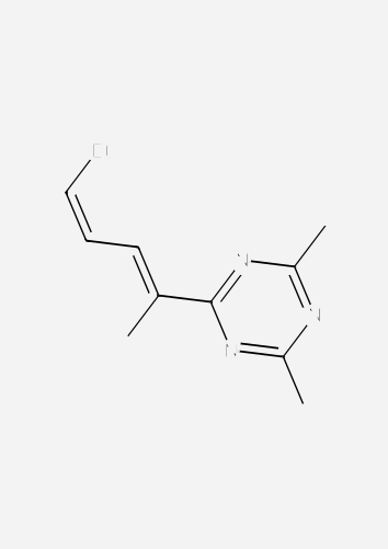 CC/C=C\C=C(/C)c1nc(C)nc(C)n1